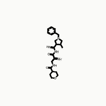 CC1CN(Cc2ccccc2)CC1C(=N)NC(=O)C(=N)CNC(=O)C1CCOCC1